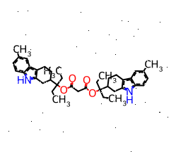 CCC(CC)(OC(=O)CC(=O)OC(CC)(CC)C1CCc2c([nH]c3ccc(C)cc23)C1)C1CCc2c([nH]c3ccc(C)cc23)C1